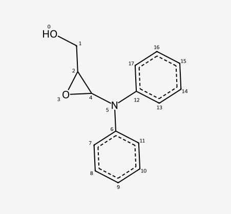 OCC1OC1N(c1ccccc1)c1ccccc1